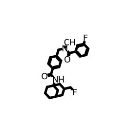 CN(Cc1ccc(C(=O)NC23CCCC(CC(CF)C2)C3)cc1)C(=O)c1cccc(F)c1